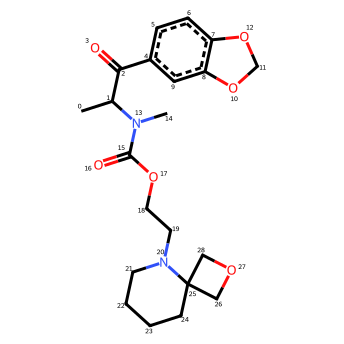 CC(C(=O)c1ccc2c(c1)OCO2)N(C)C(=O)OCCN1CCCCC12COC2